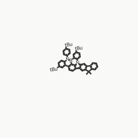 CC(C)(C)c1ccc(N2B3c4cc(C(C)(C)C)ccc4-n4c5cc6c(cc5c5ccc(c3c54)-c3cc(C(C)(C)C)ccc32)C(C)(C)c2ccccc2-6)cc1